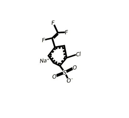 O=S(=O)([O-])c1ccc(C(F)=C(F)F)cc1Cl.[Na+]